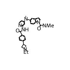 CCN1CC(c2ccc(C(=O)Nc3cc(N(C)c4ccc5c(ccn5C(=O)NC)c4)ccn3)cc2)C1